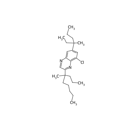 CCCCCC(C)(CCC)c1cnc2cc(C(C)(CC)CCC)cc(Cl)c2n1